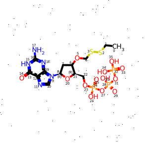 CCSSCOC1C[C@H](n2cnc3c(=O)[nH]c(N)nc32)O[C@@H]1COP(=O)(O)OP(=O)(O)OP(=O)(O)O